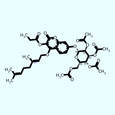 CCC(=O)Oc1c(OC/C=C(\C)CCC=C(C)C)c2ccc(O[C@H]3O[C@H](COC(C)=O)[C@@H](OC(C)=O)[C@H](OC(C)=O)[C@@H]3OC(C)=O)cc2oc1=O